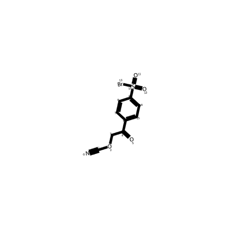 N#COCC(=O)c1ccc(S(=O)(=O)Br)cc1